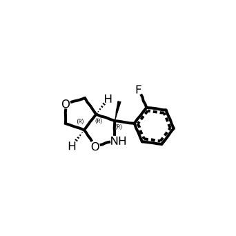 C[C@@]1(c2ccccc2F)NO[C@H]2COC[C@H]21